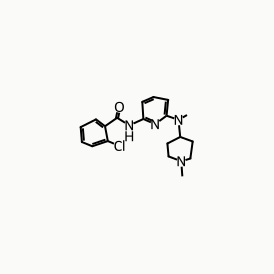 CN1CCC(N(C)c2cccc(NC(=O)c3ccccc3Cl)n2)CC1